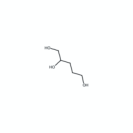 OCCC[C](O)CO